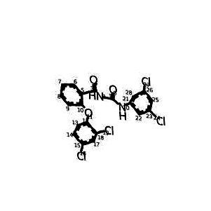 O=C(NC(=O)c1ccccc1Oc1ccc(Cl)cc1Cl)Nc1cc(Cl)cc(Cl)c1